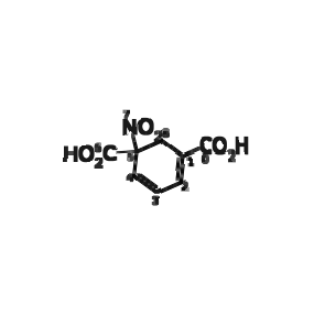 O=C(O)C1=CC=CC(C(=O)O)([N+](=O)[O-])C1